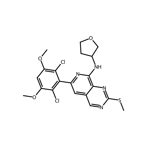 COc1cc(OC)c(Cl)c(-c2cc3cnc(SC)nc3c(NC3CCOC3)n2)c1Cl